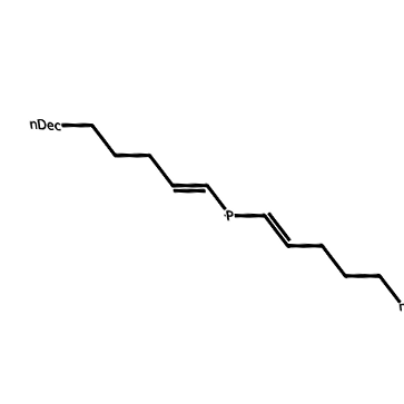 CCCCCCCCCCCCC/C=C/[P]/C=C/CCCCCCCCCCCCC